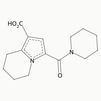 O=C(O)c1cc(C(=O)N2CCCCC2)n2c1CCCC2